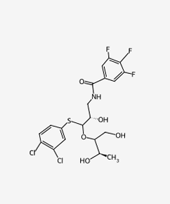 C[C@@H](O)C(CO)OC(Sc1ccc(Cl)c(Cl)c1)[C@@H](O)CNC(=O)c1cc(F)c(F)c(F)c1